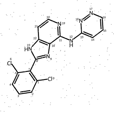 Clc1cccc(Cl)c1-c1nc2c(Nc3cccnn3)nccc2[nH]1